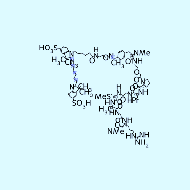 CNC(=O)[C@@H](CCCNC(=N)N)NC(=O)CNC(=O)[C@H](C)NC(=O)[C@H](CSC)NC(=O)CNC(=O)[C@H](CC(C)C)NC(=O)[C@@H]1CCCN1C(=O)COCCNC(=O)[C@H](Cc1ccc(/C(C)=N/OCCNC(=O)CCCCCN2/C(=C/C=C/C=C/C=C/C3=Nc4ccc(S(=O)(=O)O)cc4C3(C)C)C(C)(C)c3cc(S(=O)(=O)O)ccc32)cc1)NC